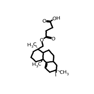 C[C@]1(I)CC=C2C(CCC3[C@](C)(COC(=O)CCC(=O)O)CCC[C@@]23C)C1